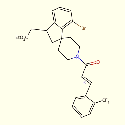 CCOC(=O)CC1CC2(CCN(C(=O)/C=C/c3ccccc3C(F)(F)F)CC2)c2c(Br)cccc21